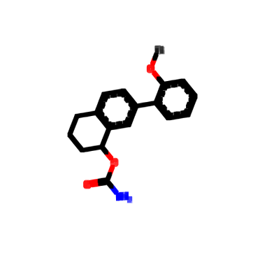 CCOc1ccccc1-c1ccc2c(c1)C(OC(N)=O)CCC2